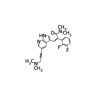 CN(C)CC#Cc1cnc2[nH]cc(C=C(C(=O)N(C)C)c3cccc(F)c3F)c2c1